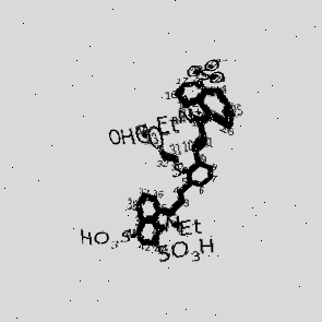 CCn1/c(=C/C=C2\CCCC(/C=C/C3=[N+](CC)c4ccc(S(=O)(=O)[O-])c5cccc3c45)=C2SCCOC=O)c2cccc3c(S(=O)(=O)O)cc(S(=O)(=O)O)c1c32